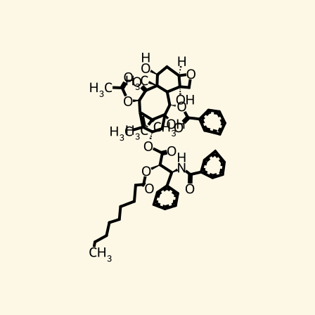 CCCCCCCCC(=O)O[C@@H](C(=O)O[C@H]1C[C@@]2(O)[C@@H](OC(=O)c3ccccc3)C3[C@]4(O)CO[C@@H]4C[C@H](O)[C@@]3(C)C(=O)[C@H](OC(C)=O)C(=C1C)C2(C)C)[C@@H](NC(=O)c1ccccc1)c1ccccc1